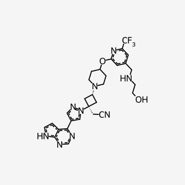 N#CC[C@]1(n2cc(-c3ncnc4[nH]ccc34)cn2)C[C@H](N2CCC(Oc3cc(CNCCO)cc(C(F)(F)F)n3)CC2)C1